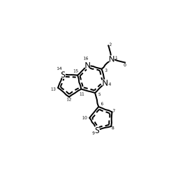 CN(C)c1nc(-c2ccsc2)c2ccsc2n1